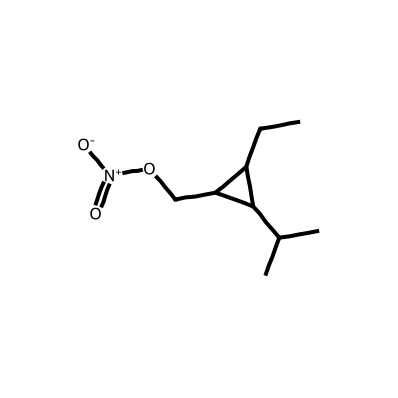 CCC1C(CO[N+](=O)[O-])C1C(C)C